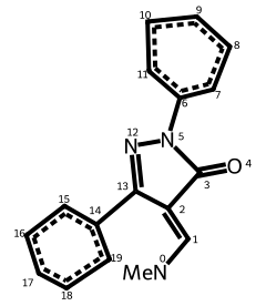 CNC=C1C(=O)N(c2ccccc2)N=C1c1ccccc1